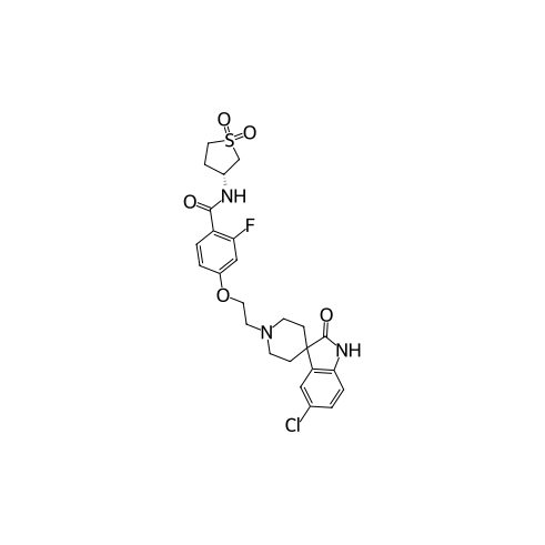 O=C(N[C@@H]1CCS(=O)(=O)C1)c1ccc(OCCN2CCC3(CC2)C(=O)Nc2ccc(Cl)cc23)cc1F